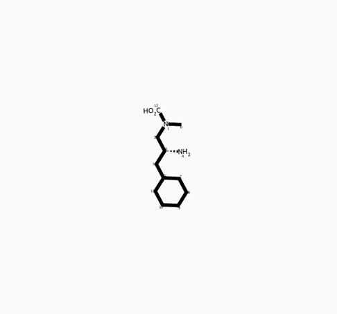 CN(C[C@H](N)CC1CCCCC1)C(=O)O